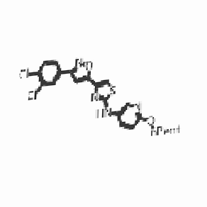 CCCCCOc1ccc(Nc2nc(-c3cc(-c4ccc(Cl)c(Cl)c4)no3)cs2)cn1